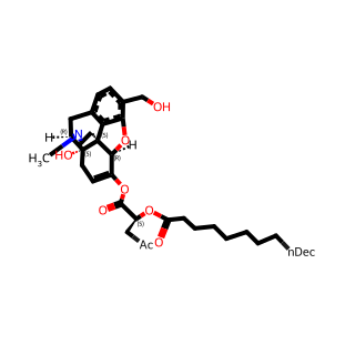 CCCCCCCCCCCCCCCCCC(=O)O[C@@H](CC(C)=O)C(=O)OC1=CC[C@@]2(O)[C@H]3Cc4ccc(CO)c5c4[C@@]2(CCN3C)[C@H]1O5